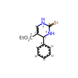 CCOC(=O)C1=CNC(=S)NC1c1ccccc1